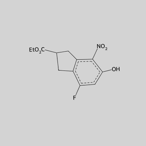 CCOC(=O)C1Cc2c(F)cc(O)c([N+](=O)[O-])c2C1